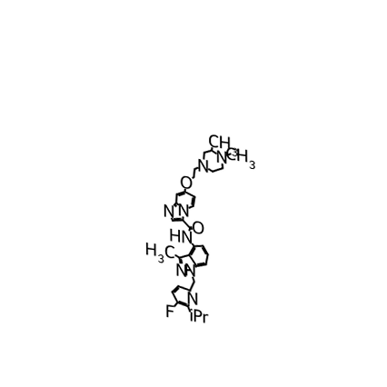 Cc1nn(Cc2ccc(F)c(C(C)C)n2)c2cccc(NC(=O)c3cnc4cc(OCCN5CCN(C)C(C)C5)ccn34)c12